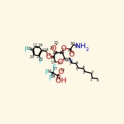 CCCCCCC/C=C/[C@@H]1OC[C@@H](OCc2ccc(F)cc2F)[C@H](OC)[C@@H]1OC(=O)CN.O=C(O)C(F)(F)F